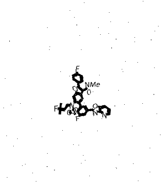 CNC(=O)c1c(-c2ccc(F)cc2)oc2cc(N(CCC(C)(C)F)S(C)(=O)=O)c(-c3cc(F)cc(-c4nc5ncccc5o4)c3)cc12